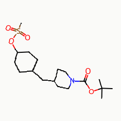 CC(C)(C)OC(=O)N1CCC(CC2CCC(OS(C)(=O)=O)CC2)CC1